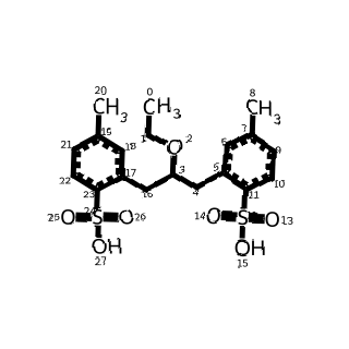 CCOC(Cc1cc(C)ccc1S(=O)(=O)O)Cc1cc(C)ccc1S(=O)(=O)O